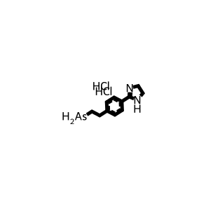 Cl.Cl.[AsH2]CCc1ccc(C2=NCCN2)cc1